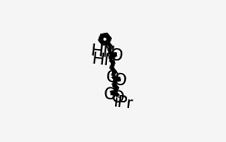 CC(C)OC(=O)/C=C/C(=O)OCCCNC(=O)NCc1ccccc1